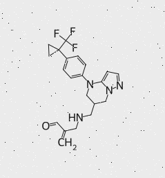 C=C(C=O)CNCC1CN(c2ccc(C3(C(F)(F)F)CC3)cc2)c2ccnn2C1